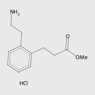 COC(=O)CCc1ccccc1CCN.Cl